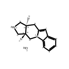 Cl.c1ccc2c(c1)cc1n2C[C@@H]2CNC[C@H]2C1